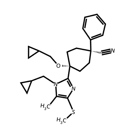 CSc1nc([C@]2(OCC3CC3)CC[C@](C#N)(c3ccccc3)CC2)n(CC2CC2)c1C